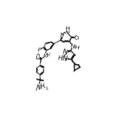 CC(C)(N)c1ccc(C(=O)Nc2cc(-c3cc(Nc4cc(C5CC5)[nH]n4)c(=O)[nH]n3)ccc2F)cc1